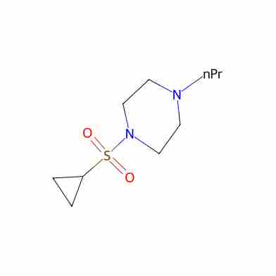 CCCN1CCN(S(=O)(=O)C2CC2)CC1